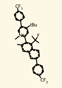 Cc1cc2cc(-c3ccc(C(F)(F)F)cc3)ccc2c(C(C)(C)F)c1-c1cc(C(C)(C)C)c(-c2ccc(C(F)(F)F)cc2)c[n+]1C